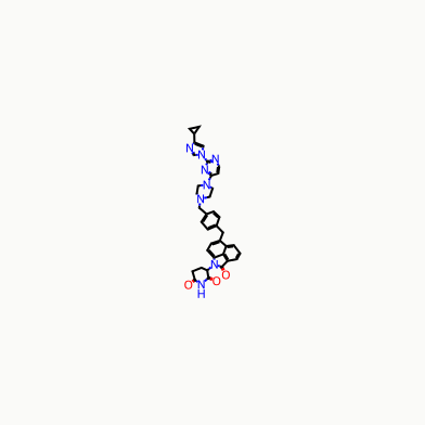 O=C1CCC(N2C(=O)c3cccc4c(Cc5ccc(CN6CCN(c7ccnc(-n8cnc(C9CC9)c8)n7)CC6)cc5)ccc2c34)C(=O)N1